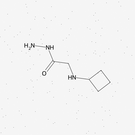 NNC(=O)CNC1CCC1